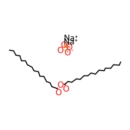 CCCCCCCCCCCCCCCC(=O)OC(=O)CCCCCCCCCCCCCCC.O=S(=O)([O-])[O-].[Na+].[Na+]